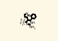 NC1=NC(C(F)(F)F)(C(F)(F)F)C(c2ccn[nH]2)=C(c2ccccc2)N1